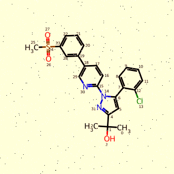 CC(C)(O)c1cc(-c2ccccc2Cl)n(-c2ccc(-c3cccc(S(C)(=O)=O)c3)cn2)n1